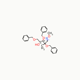 CO/N=C/[C@](C)(OCc1ccccc1)[C@H](OCc1ccccc1)[C@H](O)COCc1ccccc1